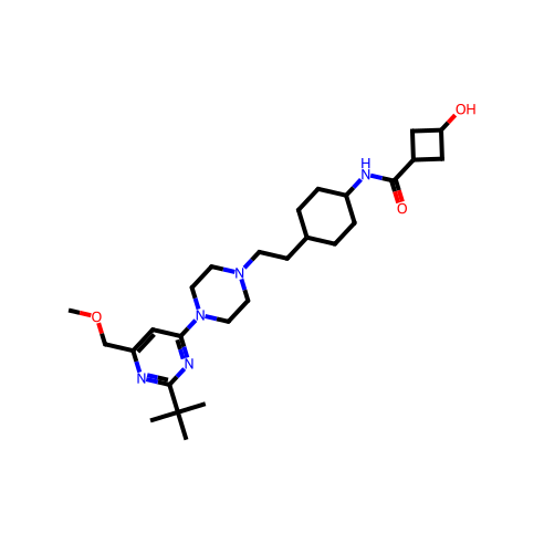 COCc1cc(N2CCN(CCC3CCC(NC(=O)C4CC(O)C4)CC3)CC2)nc(C(C)(C)C)n1